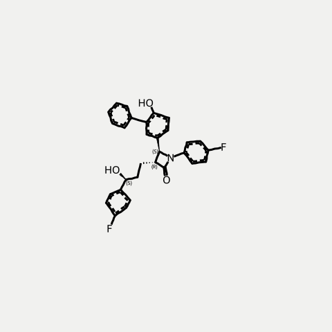 O=C1[C@H](CC[C@H](O)c2ccc(F)cc2)[C@@H](c2ccc(O)c(-c3ccccc3)c2)N1c1ccc(F)cc1